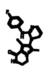 Cc1c(N2CC=CN=C2Nc2ccc(F)cc2)c(C)n2c1C(=O)NCC2